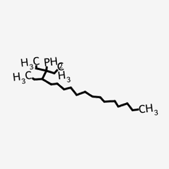 CCCCCCCCCCCCCCC(CC)C(P)(CC)CC